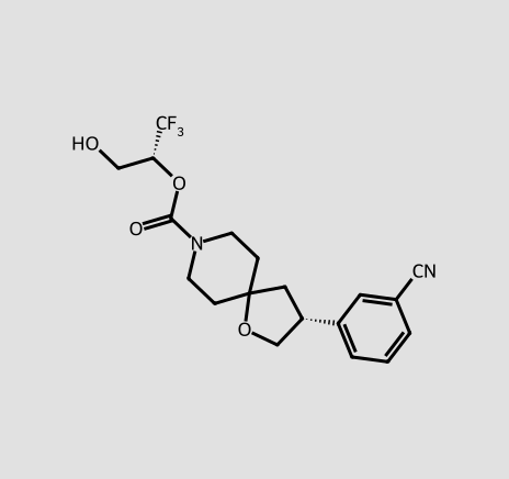 N#Cc1cccc([C@@H]2COC3(CCN(C(=O)O[C@H](CO)C(F)(F)F)CC3)C2)c1